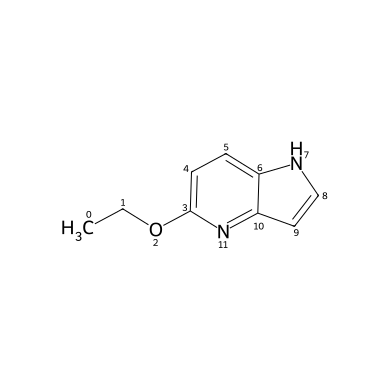 CCOc1ccc2[nH]ccc2n1